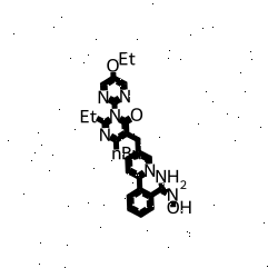 CCCCc1nc(CC)n(-c2ncc(OCC)cn2)c(=O)c1Cc1ccc(-c2ccccc2/C(N)=N\O)nc1